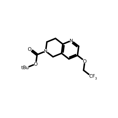 CC(C)(C)OC(=O)N1CCc2ncc(OCC(F)(F)F)cc2C1